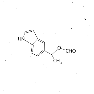 CC(OC=O)c1ccc2[nH]ccc2c1